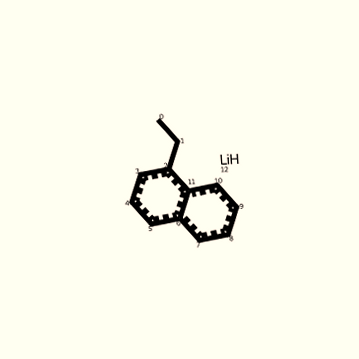 CCc1cccc2ccccc12.[LiH]